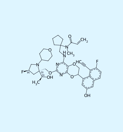 C#Cc1c(F)ccc2cc(O)cc(C3COc4c(NCC5(N(C)C(=O)C=C)CCCC5)nc(OC[C@]5([C@H](C)O)C[C@@H](F)CN5C5CCOCC5)nc4O3)c12